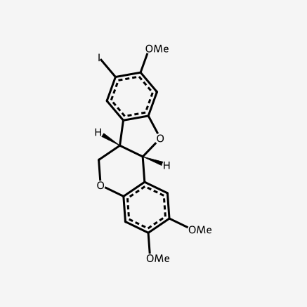 COc1cc2c(cc1I)[C@H]1COc3cc(OC)c(OC)cc3[C@H]1O2